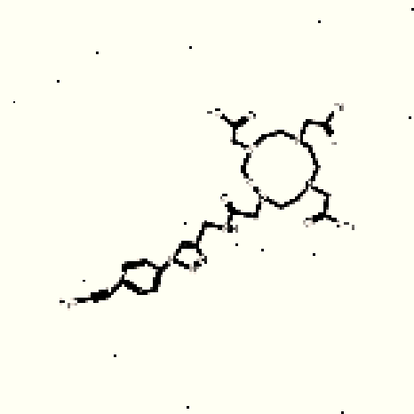 CC#Cc1ccc(-n2cc(CNC(=O)CN3CCN(CC(C)=O)CCN(CC(=O)O)CCN(CC(=O)O)CC3)nn2)cc1